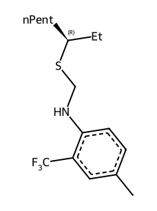 CCCCC[C@@H](CC)SCNc1ccc(C)cc1C(F)(F)F